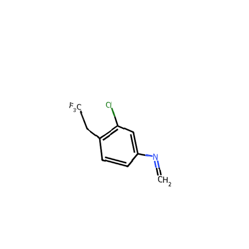 C=Nc1ccc(CC(F)(F)F)c(Cl)c1